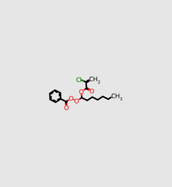 C=C(Cl)C(=O)OC(CCCCCC)OOC(=O)c1ccccc1